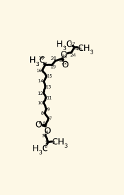 CC(C)COC(=O)CCCCCCCCCCC(C)CCC(=O)OCC(C)C